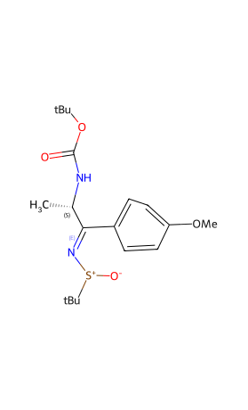 COc1ccc(/C(=N\[S+]([O-])C(C)(C)C)[C@H](C)NC(=O)OC(C)(C)C)cc1